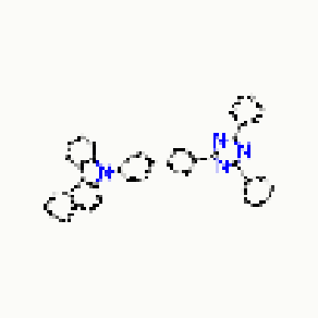 c1ccc(-c2nc(-c3ccccc3)nc(-c3ccc(-c4ccc(-n5c6ccccc6c6c7ccccc7ccc65)cc4)cc3)n2)cc1